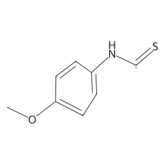 COc1ccc(N[C]=S)cc1